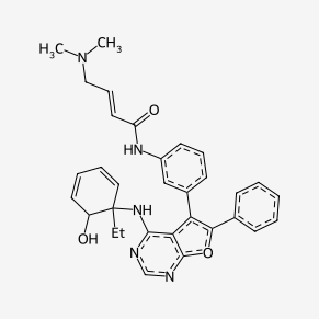 CCC1(Nc2ncnc3oc(-c4ccccc4)c(-c4cccc(NC(=O)/C=C/CN(C)C)c4)c23)C=CC=CC1O